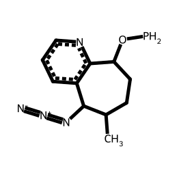 CC1CCC(OP)c2ncccc2C1N=[N+]=[N-]